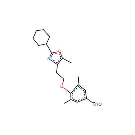 Cc1cc(C=O)cc(C)c1OCCc1nc(C2CCCCC2)oc1C